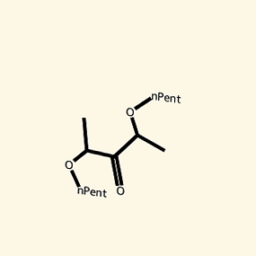 CCCCCOC(C)C(=O)C(C)OCCCCC